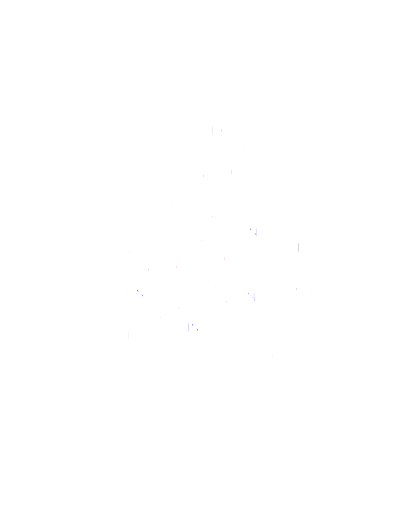 COC(=O)CCC(NC(=O)[C@H](C)NC(=O)OCc1ccccc1)C(=O)NC(C(=O)NC(CC(=O)OC)C(=O)CF)C(C)C